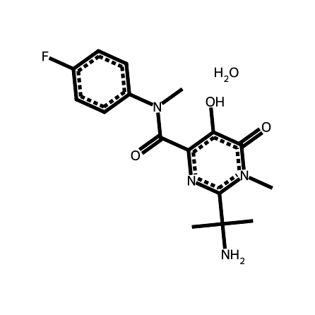 CN(C(=O)c1nc(C(C)(C)N)n(C)c(=O)c1O)c1ccc(F)cc1.O